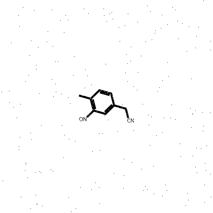 Cc1ccc(CC#N)cc1N=O